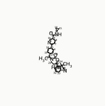 C[C@@H](c1ccc(-c2ccc(C(=O)NC3CC3)cn2)cc1)N1CC[C@](CC(C)(C)C#N)(c2ccccc2)OC1=O